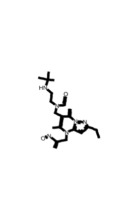 C=C(CN1C(C)=C(CN(C=O)CCNC(C)(C)C)C(=C)n2nc(CC)cc21)N=O